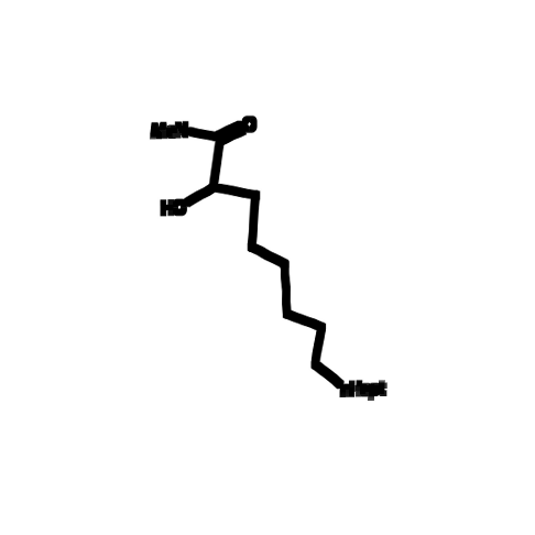 CCCCCCCCCCCCCC(O)C(=O)NC